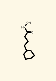 O=C(CCCC1CCCCC1)NO